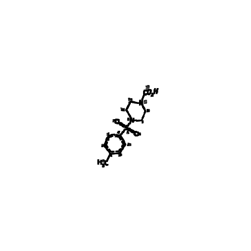 Cc1ccc(S(=O)(=O)N2CCN(C(=O)O)CC2)cc1